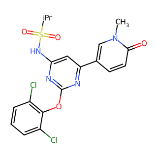 CC(C)S(=O)(=O)Nc1cc(-c2ccc(=O)n(C)c2)nc(Oc2c(Cl)cccc2Cl)n1